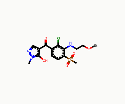 CCOCCNc1c(S(C)(=O)=O)ccc(C(=O)c2cnn(C)c2O)c1Cl